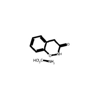 NC(=O)O.O=C1Cc2ccccc2ON1